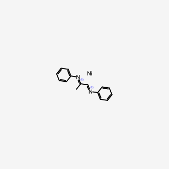 CC(/C=N/c1ccccc1)=N\c1ccccc1.[Ni]